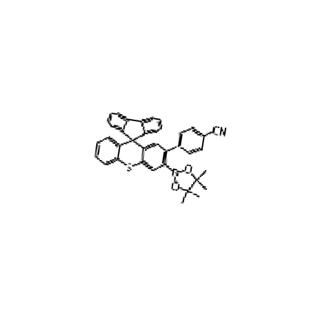 CC1(C)OB(c2cc3c(cc2-c2ccc(C#N)cc2)C2(c4ccccc4S3)c3ccccc3-c3ccccc32)OC1(C)C